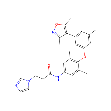 Cc1cc(Oc2c(C)cc(NC(=O)CCn3ccnc3)cc2C)cc(-c2c(C)noc2C)c1